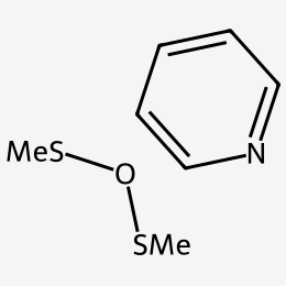 CSOSC.c1ccncc1